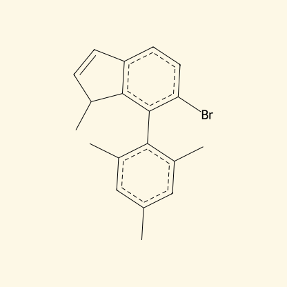 Cc1cc(C)c(-c2c(Br)ccc3c2C(C)C=C3)c(C)c1